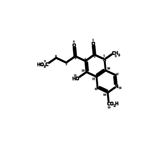 Cn1c(=O)c(C(=O)CCC(=O)O)c(O)c2cc(C(=O)O)ncc21